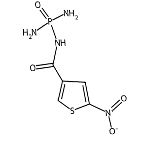 NP(N)(=O)NC(=O)c1csc([N+](=O)[O-])c1